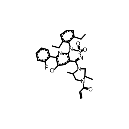 C=CC(=O)N1CC(C)N(C2=NS(=O)(=O)N(c3c(CC)cccc3CC)c3nc(-c4ccccc4F)c(Cl)cc32)CC1C